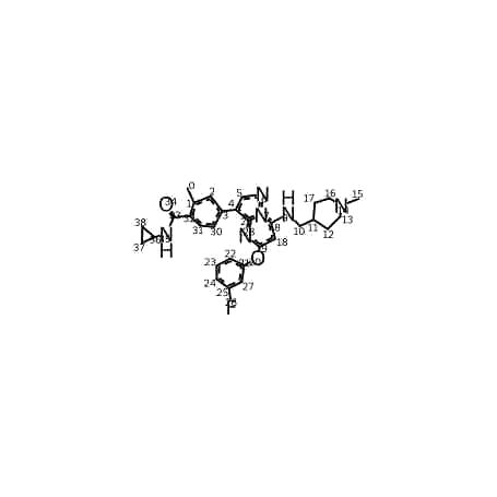 Cc1cc(-c2cnn3c(NCC4CCN(C)CC4)cc(Oc4cccc(F)c4)nc23)ccc1C(=O)NC1CC1